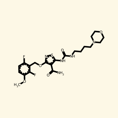 COc1ccc(F)c(COc2nsc(NC(=O)NCCCCN3CCOCC3)c2C(N)=O)c1F